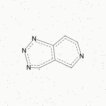 [c]1nnnc2ccncc12